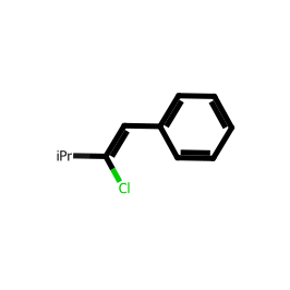 CC(C)/C(Cl)=C/c1ccccc1